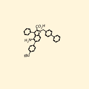 CC(C)(C)c1ccc(-c2ccc3c(c2N)c(-c2ccccc2)c(C(=O)O)n3Cc2ccc(-c3ccccc3)cc2)cc1